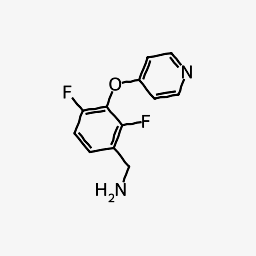 NCc1ccc(F)c(Oc2ccncc2)c1F